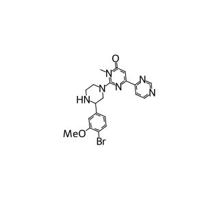 COc1cc(C2CN(c3nc(-c4ccncn4)cc(=O)n3C)CCN2)ccc1Br